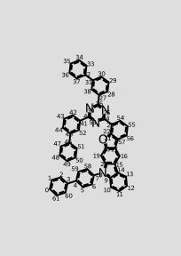 c1ccc(-c2ccc(-n3c4ccccc4c4cc5c(cc43)oc3c(-c4nc(-c6cccc(-c7ccccc7)c6)nc(-c6cccc(-c7ccccc7)c6)n4)cccc35)cc2)cc1